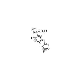 CCOC(=O)C(CC(C)C)n1cc(CN2CC[C@@H](F)C2)ccc1=O